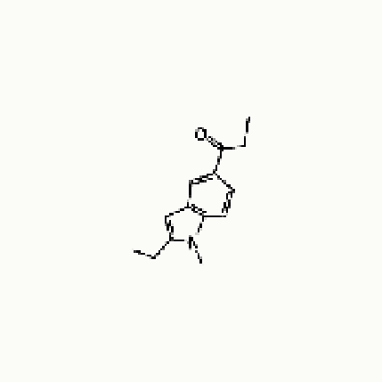 CCC(=O)c1ccc2c(c1)cc(CC)n2C